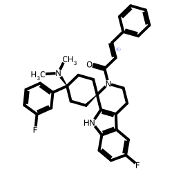 CN(C)[C@]1(c2cccc(F)c2)CC[C@]2(CC1)c1[nH]c3ccc(F)cc3c1CCN2C(=O)/C=C/c1ccccc1